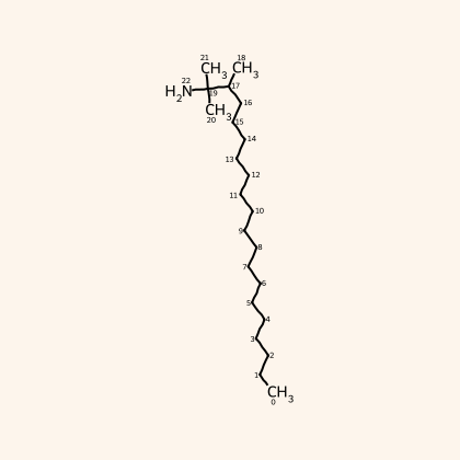 CCCCCCCCCCCCCCCCCC(C)C(C)(C)N